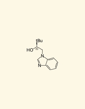 CC(C)(C)[C@H](O)Cn1cnc2ccccc21